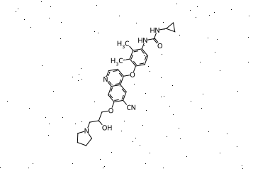 Cc1c(NC(=O)NC2CC2)ccc(Oc2ccnc3cc(OCC(O)CN4CCCC4)c(C#N)cc23)c1C